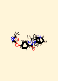 CC(=O)c1ncc(Oc2ccc(C(=O)N[C@@H]3C4CCN(CC4)[C@H]3C)cc2)o1